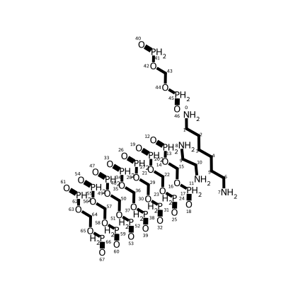 NCCCCCCN.NCCN.O=[PH2]OCO[PH2]=O.O=[PH2]OCO[PH2]=O.O=[PH2]OCO[PH2]=O.O=[PH2]OCO[PH2]=O.O=[PH2]OCO[PH2]=O.O=[PH2]OCO[PH2]=O.O=[PH2]OCO[PH2]=O.O=[PH2]OCO[PH2]=O